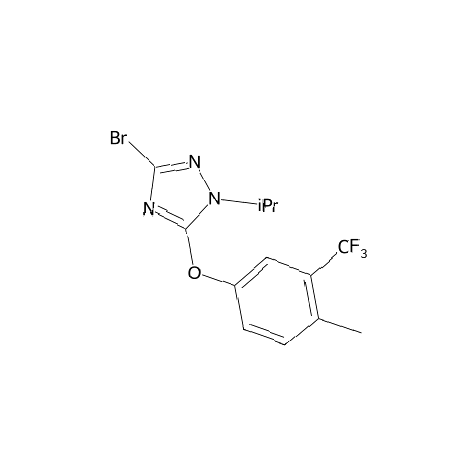 Cc1ccc(Oc2nc(Br)nn2C(C)C)cc1C(F)(F)F